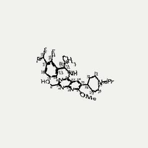 COc1nc2nc(CO)nc(N[C@H](C)c3cccc(C(F)F)c3F)c2cc1C1CCN(C(C)C)CC1